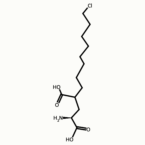 N[C@@H](CC(CCCCCCCCCl)C(=O)O)C(=O)O